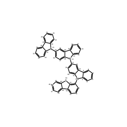 c1cc(-n2c3ccccc3c3cc(-n4c5ccccc5c5cc(-n6c7ccccc7c7ccccc76)ccc54)ccc32)c2sc3cnccc3c2c1